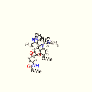 CNC(=O)Nc1ccc2c(c1)C(=O)C(=Cc1c(-c3c(C)nn(C)c3C)n(CCN(C)C)c3ccc(OC)cc13)O2